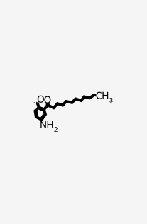 CCCCCCCCCCCC(=O)c1cc(N)ccc1[C]=O